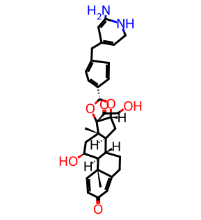 C[C@]12C=CC(=O)C=C1CC[C@@H]1[C@@H]2[C@@H](O)C[C@@]2(C)[C@H]1C[C@H]1O[C@@H](c3ccc(CC4=CCNC(N)=C4)cc3)O[C@]12C(=O)CO